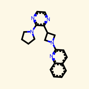 c1ccc2nc(N3CC(c4nccnc4N4CCCC4)C3)ccc2c1